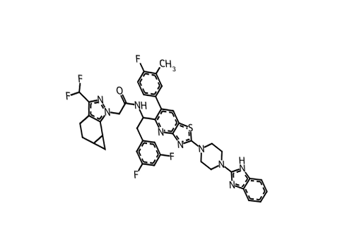 Cc1cc(-c2cc3sc(N4CCN(c5nc6ccccc6[nH]5)CC4)nc3nc2C(Cc2cc(F)cc(F)c2)NC(=O)Cn2nc(C(F)F)c3c2C2CC2CC3)ccc1F